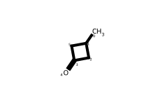 CC1CC(=O)C1